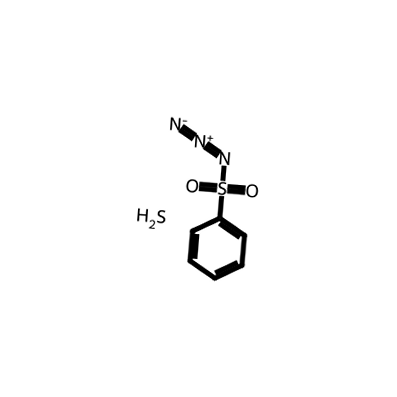 S.[N-]=[N+]=NS(=O)(=O)c1ccccc1